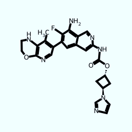 Cc1c(-c2cc3cc(NC(=O)O[C@H]4C[C@H](n5ccnc5)C4)ncc3c(N)c2F)cnc2c1NCCO2